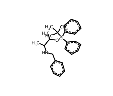 CC(NCc1ccccc1)C(C)O[Si](c1ccccc1)(c1ccccc1)C(C)(C)C